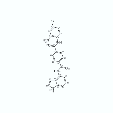 Nc1cc(F)ccc1NC(=O)c1ccc(C(=O)Nc2cccc3[nH]ccc23)cc1